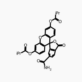 CC(C)C(=O)Oc1ccc2c(c1)Oc1cc(OC(=O)C(C)C)ccc1C21OC(=O)c2ccc(C(N)=O)cc21